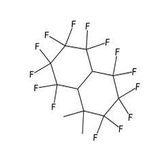 CC1(C)C2C(C(F)(F)C(F)(F)C1(F)F)C(F)(F)C(F)(F)C(F)(F)C2(F)F